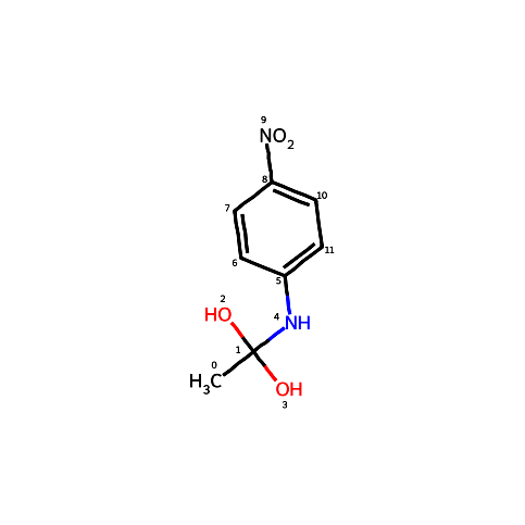 CC(O)(O)Nc1ccc([N+](=O)[O-])cc1